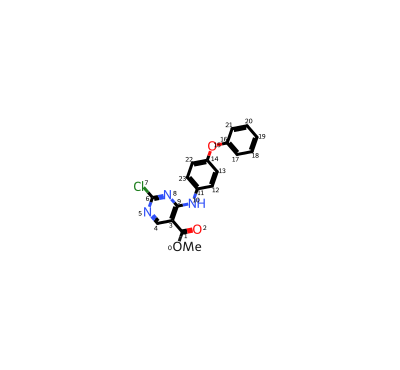 COC(=O)c1cnc(Cl)nc1Nc1ccc(Oc2ccccc2)cc1